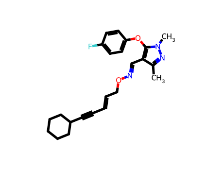 Cc1nn(C)c(Oc2ccc(F)cc2)c1C=NOCC=CC#CC1CCCCC1